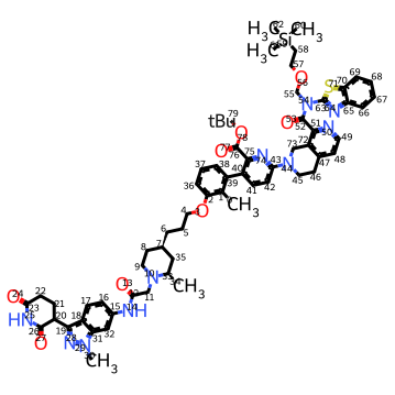 Cc1c(OCCC[C@@H]2CCN(CC(=O)Nc3ccc4c(C5CCC(=O)NC5=O)nn(C)c4c3)[C@H](C)C2)cccc1-c1ccc(N2CCc3ccnc(C(=O)N(COCC[Si](C)(C)C)c4nc5ccccc5s4)c3C2)nc1C(=O)OC(C)(C)C